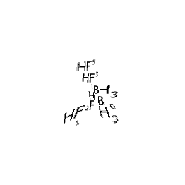 B.B.F.F.F.F